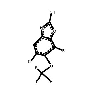 FC(F)(F)Oc1c(Cl)cc2nc(S)oc2c1Br